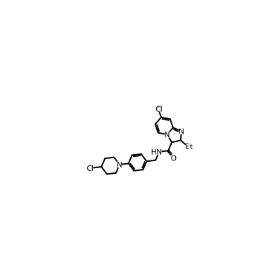 CCC1N=C2C=C(Cl)C=CN2C1C(=O)NCc1ccc(N2CCC(Cl)CC2)cc1